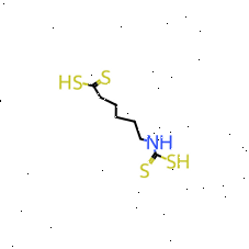 S=C(S)CCCCCNC(=S)S